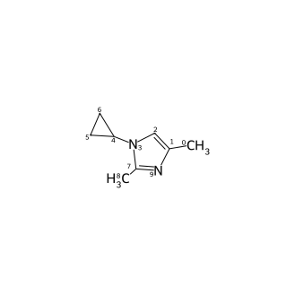 Cc1cn(C2CC2)c(C)n1